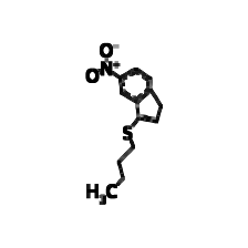 CCCCSC1=CCc2ccc([N+](=O)[O-])cc21